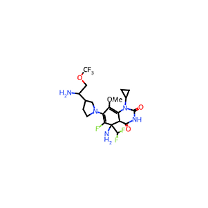 COC1=C2C(C(=O)NC(=O)N2C2CC2)C(N)(C(F)F)C(F)=C1N1CCC(C(N)COC(F)(F)F)C1